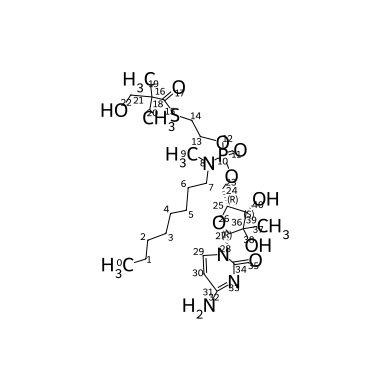 CCCCCCCCN(C)P(=O)(OCCSC(=O)C(C)(C)CO)OC[C@H]1O[C@@H](n2ccc(N)nc2=O)C(C)(O)[C@H]1O